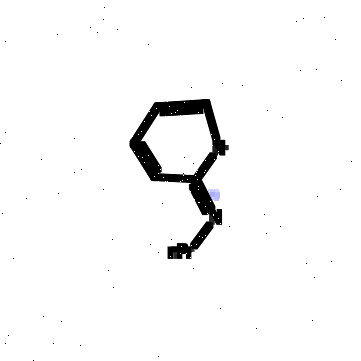 CCC/N=C1\C=CC=C[N]1